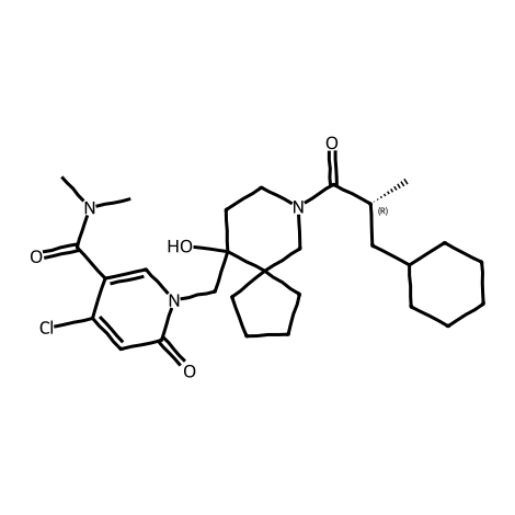 C[C@H](CC1CCCCC1)C(=O)N1CCC(O)(Cn2cc(C(=O)N(C)C)c(Cl)cc2=O)C2(CCCC2)C1